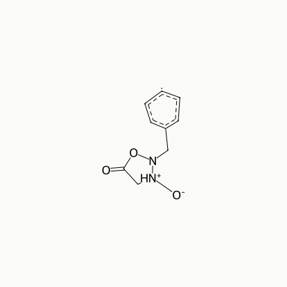 O=C1C[NH+]([O-])N(Cc2cc[c]cc2)O1